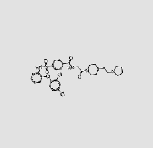 O=C(NCC(=O)N1CCC(CCN2CCCC2)CC1)c1ccc(S(=O)(=O)Nc2ccccc2Oc2ccc(Cl)cc2Cl)cc1